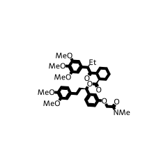 CC[C@H](C(=O)C1CCCC[C@H]1C(=O)O[C@H](CCc1ccc(OC)c(OC)c1)c1cccc(OCC(=O)NC)c1)c1cc(OC)c(OC)c(OC)c1